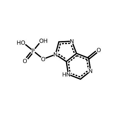 O=c1nc[nH]c2c1ncn2OP(=O)(O)O